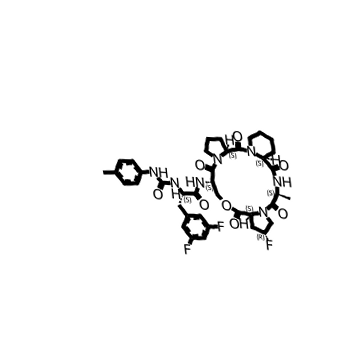 Cc1ccc(NC(=O)N[C@@H](Cc2cc(F)cc(F)c2)C(=O)N[C@H]2COC(=O)[C@@H]3C[C@@H](F)CN3C(=O)[C@H](C)NC(=O)[C@@H]3CCCCN3C(=O)[C@@H]3CCCN3C2=O)cc1